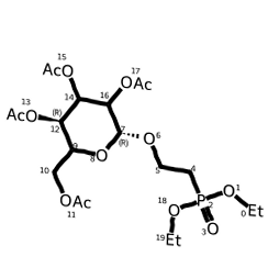 CCOP(=O)(CCO[C@@H]1OC(COC(C)=O)[C@@H](OC(C)=O)C(OC(C)=O)C1OC(C)=O)OCC